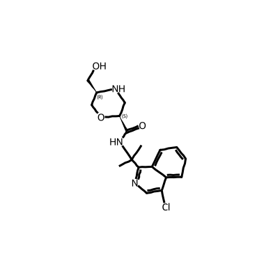 CC(C)(NC(=O)[C@@H]1CN[C@H](CO)CO1)c1ncc(Cl)c2ccccc12